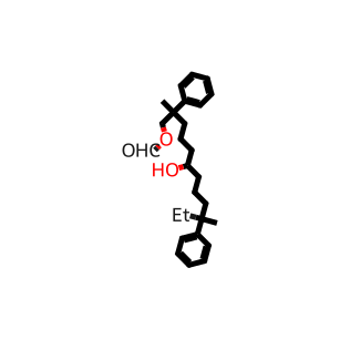 CCC(C)(CCCC(O)CCCC(C)(COC=O)c1ccccc1)c1ccccc1